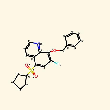 O=S(=O)(c1cc(F)c(OCc2ccccc2)c2ncccc12)C1CCCC1